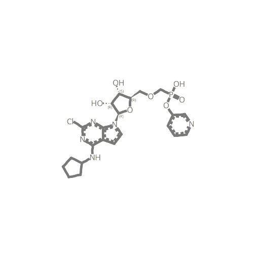 O=P(O)(COC[C@H]1O[C@@H](n2ccc3c(NC4CCCC4)nc(Cl)nc32)[C@H](O)[C@@H]1O)Oc1cccnc1